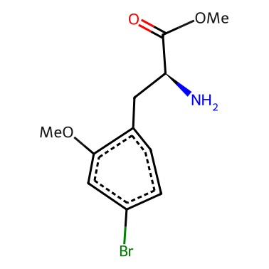 COC(=O)[C@@H](N)Cc1ccc(Br)cc1OC